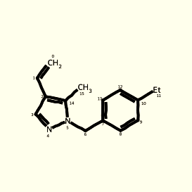 C=Cc1cnn(Cc2ccc(CC)cc2)c1C